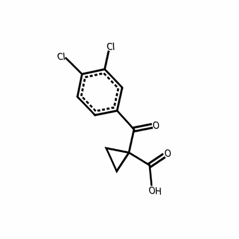 O=C(O)C1(C(=O)c2ccc(Cl)c(Cl)c2)CC1